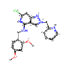 COc1ccc(CNc2nc(Cl)cc3nn(Cc4ccccn4)cc23)c(OC)c1